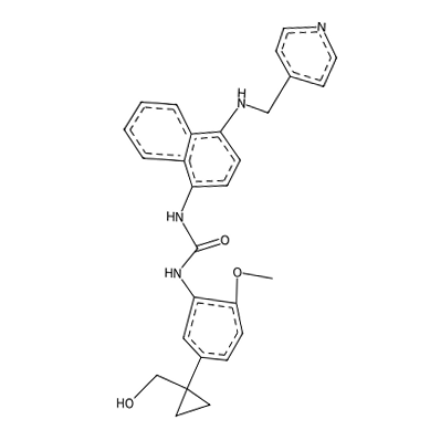 COc1ccc(C2(CO)CC2)cc1NC(=O)Nc1ccc(NCc2ccncc2)c2ccccc12